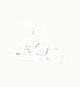 CO[C@]12CC[C@@]3(C[C@@H]1C(C)=O)[C@H]1Cc4ccc(O)c5c4[C@@]3(CCN1CC1CC1)[C@H]2O5